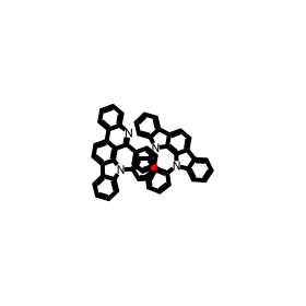 c1ccc(-c2nc3ccccc3c3ccc4c5ccccc5n(-c5cccc(-n6c7ccccc7c7ccc8c9ccccc9n(-c9ccccc9)c8c76)c5)c4c23)cc1